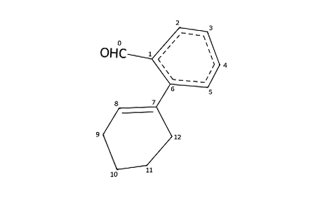 O=Cc1ccccc1C1=CCCCC1